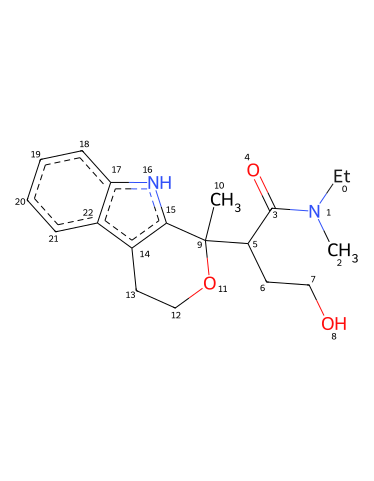 CCN(C)C(=O)C(CCO)C1(C)OCCc2c1[nH]c1ccccc21